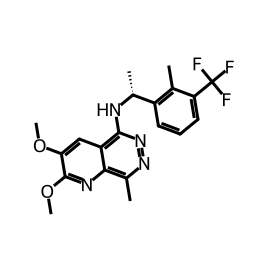 COc1cc2c(N[C@H](C)c3cccc(C(F)(F)F)c3C)nnc(C)c2nc1OC